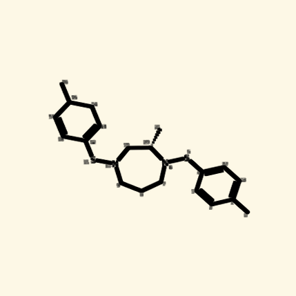 Cc1ccc(SN2CCCN(SC3=CCC(C)C=C3)C[C@@H]2C)cc1